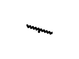 CCCCCCCCOC(=O)CCCOCCOCC